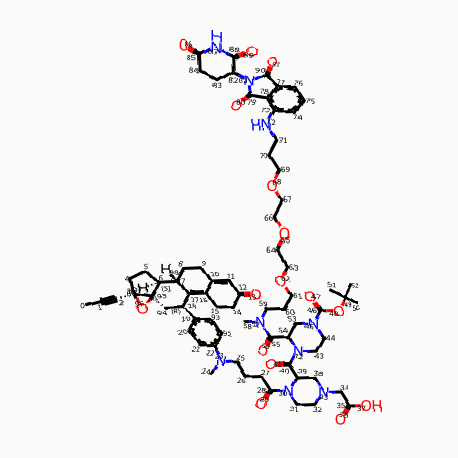 CC#C[C@]12CC[C@H]3[C@@H]4CCC5=CC(=O)CCC5=C4[C@@H](c4ccc(N(C)CCCC(=O)N5CCN(CC(=O)O)CC5C(=O)N5CCN(C(=O)OC(C)(C)C)CC5C(=O)N(C)CCCOCCOCCOCCCNc5cccc6c5C(=O)N(C5CCC(=O)NC5=O)C6=O)cc4)C[C@@]31O2